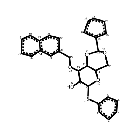 OC1C(Sc2ccccc2)OC2COC(c3ccccc3)OC2C1OCc1ccc2ccccc2c1